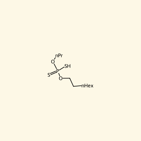 CCCCCCCCOP(=S)(S)OCCC